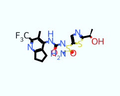 Cc1c(C(F)(F)F)nc2c(c1NC(=O)N=S(N)(=O)c1cnc([C@@H](C)O)s1)CCC2